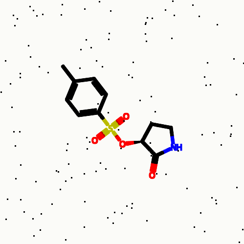 Cc1ccc(S(=O)(=O)O[C@H]2CCNC2=O)cc1